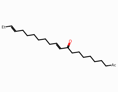 CCC=CCCCCCCC=CC(=O)CCCCCCCC(C)=O